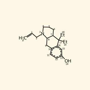 C=CCN1CCCC2C1Cc1ccc(O)cc1C2(CC)CC